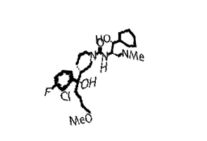 CNC[C@@H](NC(=O)N1CCC[C@@H]([C@@](O)(CCCCOC)c2cccc(F)c2Cl)C1)[C@H](O)C1CCCCC1